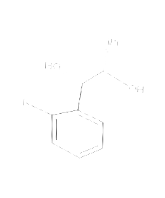 CC(C)[C@H](O)[C@@H](O)c1ccccc1I